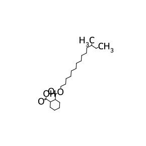 CCC(C)CCCCCCCCCCCOC(=O)C1CCCCC1C(=O)O